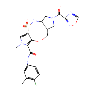 Cc1cc(NC(=O)c2c3c(cn2C)S(=O)(=O)NC2CN(C(=O)c4ncon4)CC2CO3)ccc1F